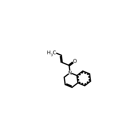 CC=CC(=O)N1CC=Cc2ccccc21